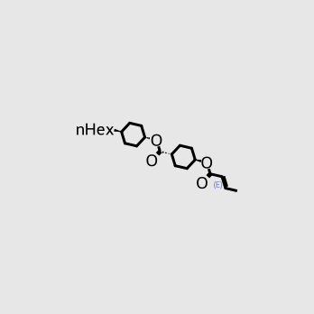 C/C=C/C(=O)O[C@H]1CC[C@H](C(=O)O[C@H]2CC[C@H](CCCCCC)CC2)CC1